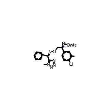 CO/N=C(/CON=C(c1ccccc1)c1nnnn1C)c1ccc(Cl)c(C)c1